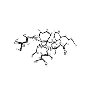 CCCCC1CCC([C@H]2CCC[C@](OCCC)([SiH2]OC(C)=CC(C)=O)C2([SiH2]OC(C)=CC(C)=O)[SiH2]OC(C)=CC(C)=O)CC1